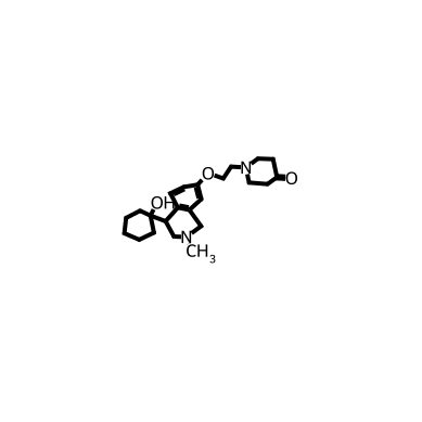 CN1Cc2cc(OCCN3CCC(=O)CC3)ccc2C(C2(O)CCCCC2)C1